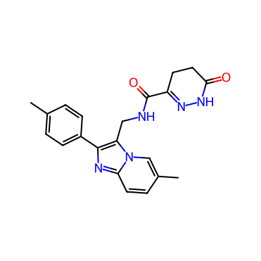 Cc1ccc(-c2nc3ccc(C)cn3c2CNC(=O)C2=NNC(=O)CC2)cc1